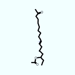 CCC(CCC/C=C/CCCCCCCC(C)=O)OC(C)=O